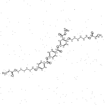 C=CC(=O)OCCCCCCOc1ccc(C(=O)Oc2ccc(C(=O)Oc3ccc(OCCCCCCOC(=O)C=C)c(C(=O)OCCCC)c3)cc2)cc1